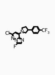 Fc1cnc2c(N3CCC(c4ccc(C(F)(F)F)cc4)C3)cc(Cl)nn12